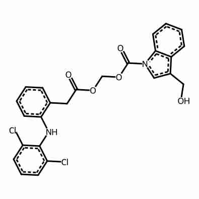 O=C(Cc1ccccc1Nc1c(Cl)cccc1Cl)OCOC(=O)n1cc(CO)c2ccccc21